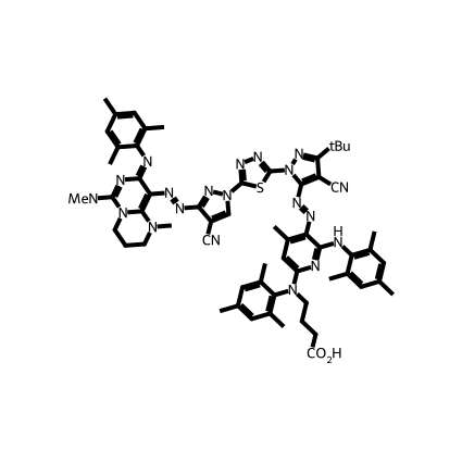 CNc1n/c(=N\c2c(C)cc(C)cc2C)c(N=Nc2nn(-c3nnc(-n4nc(C(C)(C)C)c(C#N)c4N=Nc4c(C)cc(N(CCCC(=O)O)c5c(C)cc(C)cc5C)nc4Nc4c(C)cc(C)cc4C)s3)cc2C#N)c2n1CCCN2C